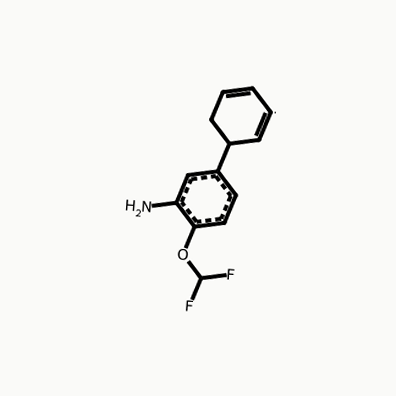 Nc1cc(C2C=[C]C=CC2)ccc1OC(F)F